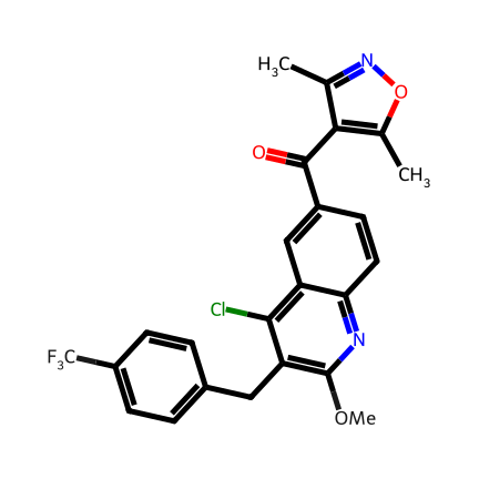 COc1nc2ccc(C(=O)c3c(C)noc3C)cc2c(Cl)c1Cc1ccc(C(F)(F)F)cc1